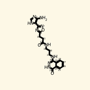 Nc1nc[nH]c1-c1noc(CCC(=O)NCCCNc2n[nH]c(=O)c3ccccc23)n1